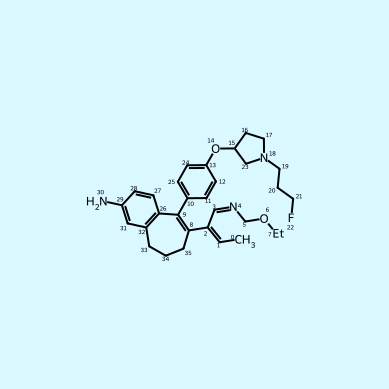 C/C=C(\C=N/COCC)C1=C(c2ccc(OC3CCN(CCCF)C3)cc2)c2ccc(N)cc2CCC1